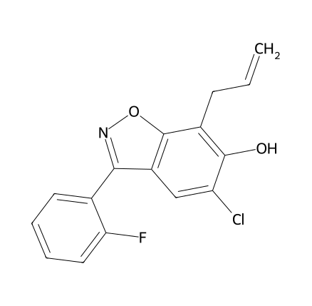 C=CCc1c(O)c(Cl)cc2c(-c3ccccc3F)noc12